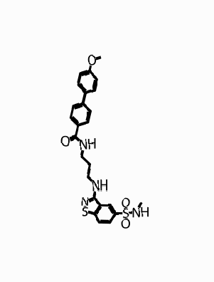 CNS(=O)(=O)c1ccc2snc(NCCCNC(=O)c3ccc(-c4ccc(OC)cc4)cc3)c2c1